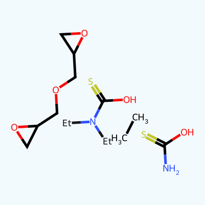 C(OCC1CO1)C1CO1.CC.CCN(CC)C(O)=S.NC(O)=S